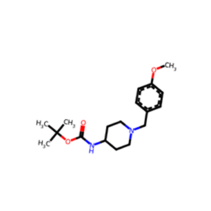 COc1ccc(CN2CCC(NC(=O)OC(C)(C)C)CC2)cc1